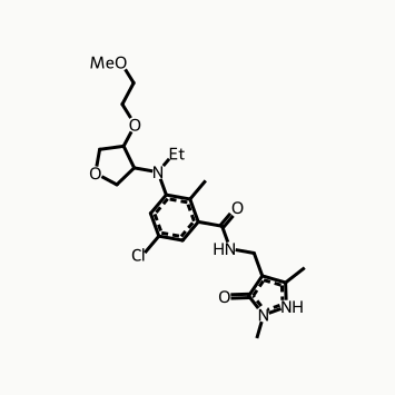 CCN(c1cc(Cl)cc(C(=O)NCc2c(C)[nH]n(C)c2=O)c1C)C1COCC1OCCOC